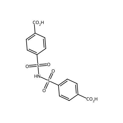 O=C(O)c1ccc(S(=O)(=O)NS(=O)(=O)c2ccc(C(=O)O)cc2)cc1